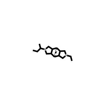 CCC(C)N1CC2C3CCC(C4CN(CC)CC34)C2C1